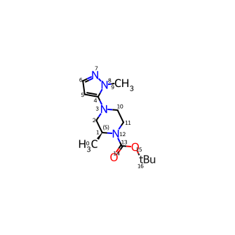 C[C@H]1CN(c2ccnn2C)CCN1C(=O)OC(C)(C)C